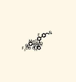 COc1cc(F)c(-c2ccc(CCN(C)C)cc2)cc1C(=O)N[C@@H]1[C@H]2CC[C@H](C2)[C@@H]1C(=O)Nc1cccc(S(=O)(=O)C(F)(F)F)c1